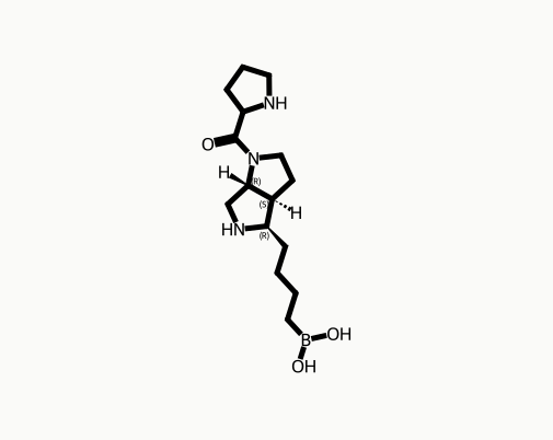 O=C(C1CCCN1)N1CC[C@H]2[C@@H](CCCCB(O)O)NC[C@@H]21